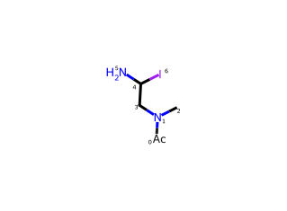 CC(=O)N(C)CC(N)I